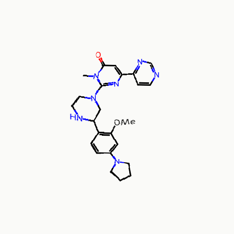 COc1cc(N2CCCC2)ccc1C1CN(c2nc(-c3ccncn3)cc(=O)n2C)CCN1